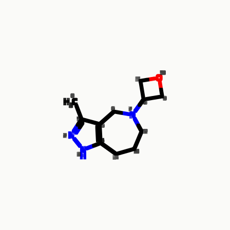 Cc1n[nH]c2c1CN(C1COC1)CCC2